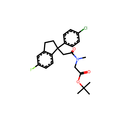 CN(CC(=O)OC(C)(C)C)C(=O)CC1(c2ccc(Cl)cc2)CCc2cc(F)ccc21